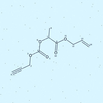 C#CCOC(=O)OC(C)C(=O)OCC=C